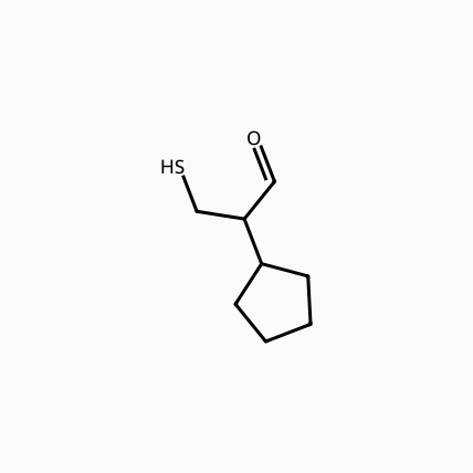 O=CC(CS)C1CCCC1